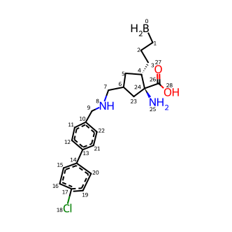 BCCC[C@H]1CC(CNCc2ccc(-c3ccc(Cl)cc3)cc2)C[C@@]1(N)C(=O)O